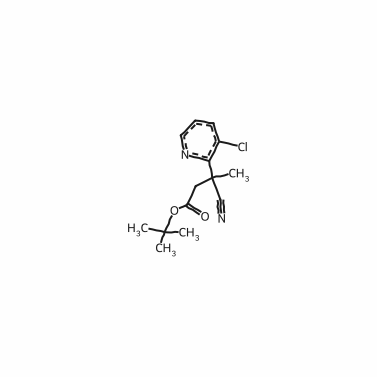 CC(C)(C)OC(=O)CC(C)(C#N)c1ncccc1Cl